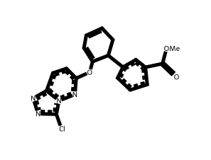 COC(=O)c1cccc(C2CC=CC=C2Oc2ccc3nnc(Cl)n3n2)c1